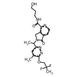 Cc1cc(C(C)N2Cc3c(ccnc3C(=O)NCCCO)C2=O)nnc1OCC(C)(F)F